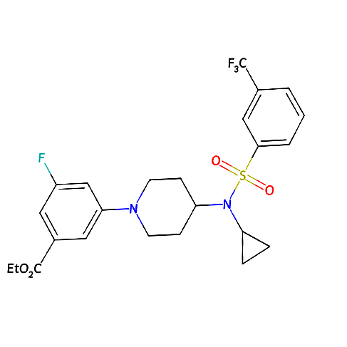 CCOC(=O)c1cc(F)cc(N2CCC(N(C3CC3)S(=O)(=O)c3cccc(C(F)(F)F)c3)CC2)c1